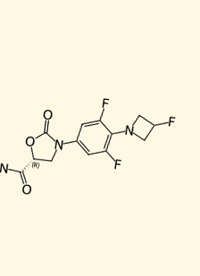 NC(=O)[C@H]1CN(c2cc(F)c(N3CC(F)C3)c(F)c2)C(=O)O1